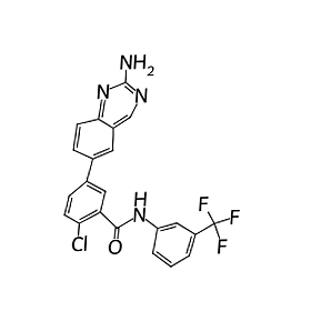 Nc1ncc2cc(-c3ccc(Cl)c(C(=O)Nc4cccc(C(F)(F)F)c4)c3)ccc2n1